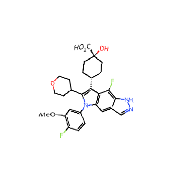 COc1cc(-n2c(C3CCOCC3)c([C@H]3CC[C@](O)(C(=O)O)CC3)c3c(F)c4[nH]ncc4cc32)ccc1F